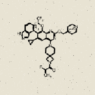 C=C(F)C(=O)N1CC2(CCN(c3nc(OCC45CCN(CC4)CC5)nc4c(OCC(F)(F)F)c(-c5c(C)ccc6[nH]ncc56)c(C5CC5)cc34)CC2)C1